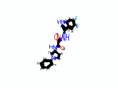 O=C(Nc1c[nH]c2cc(F)c(F)cc12)C(=O)NC1CCN(c2ccccc2)C1